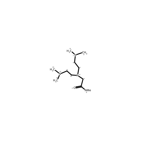 CNC(=O)CN(CCN(C)C)CCN(C)C